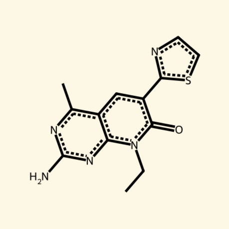 CCn1c(=O)c(-c2nccs2)cc2c(C)nc(N)nc21